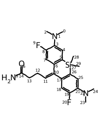 CN(C)c1cc2c(cc1F)C(=CCCC(N)=O)c1cc(F)c(N(C)C)cc1[Si]2(C)C